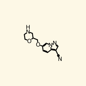 N#Cc1cnn2cc(OCC3CNCCO3)ccc12